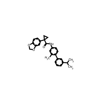 Cc1cc(NC(=O)C2(c3ccc4c(c3)OCO4)CC2)ccc1-c1cccc(C(C)C)c1